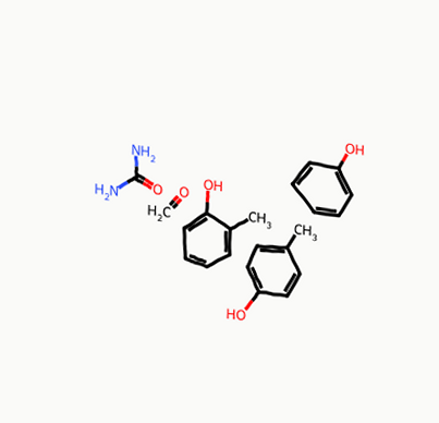 C=O.Cc1ccc(O)cc1.Cc1ccccc1O.NC(N)=O.Oc1ccccc1